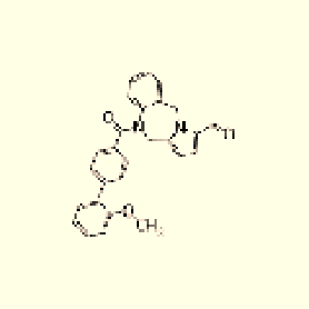 COc1ccccc1-c1ccc(C(=O)N2Cc3ccc(C=O)n3Cc3ccccc32)cc1